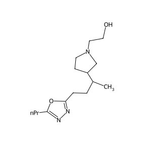 CCCc1nnc(CCC(C)C2CCN(CCO)C2)o1